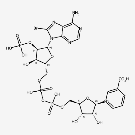 Nc1ncnc2c1nc(Br)n2[C@@H]1O[C@H](COP(=O)(O)OP(=O)(O)OC[C@H]2O[C@@H]([n+]3cccc(C(=O)O)c3)[C@H](O)[C@@H]2O)[C@@H](O)[C@H]1OP(=O)(O)O